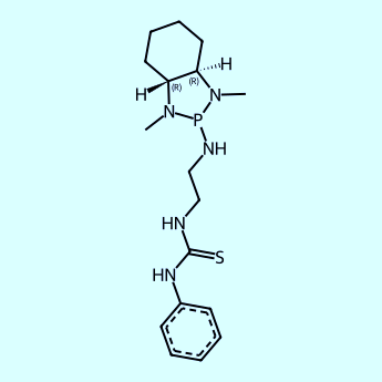 CN1[C@@H]2CCCC[C@H]2N(C)P1NCCNC(=S)Nc1ccccc1